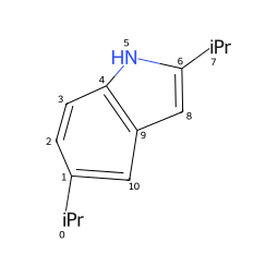 CC(C)c1ccc2[nH]c(C(C)C)cc2c1